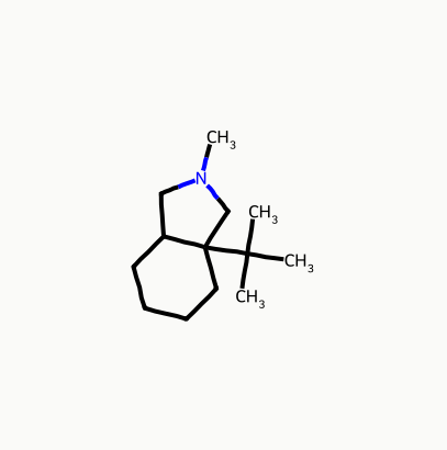 CN1CC2CCCCC2(C(C)(C)C)C1